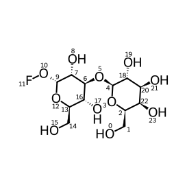 OC[C@H]1O[C@@H](O[C@@H]2[C@@H](O)[C@@H](OF)O[C@H](CO)[C@H]2O)[C@H](O)[C@@H](O)[C@H]1O